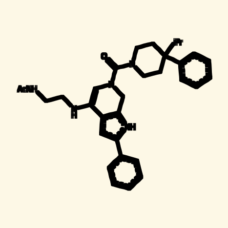 CC(=O)NCCNC1=CN(C(=O)N2CCC(c3ccccc3)(C(C)C)CC2)Cc2[nH]c(-c3ccccc3)cc21